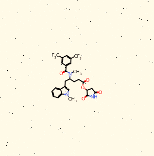 CN(C(=O)c1cc(C(F)(F)F)cc(C(F)(F)F)c1)C(CCC(=O)OC1CC(=O)NC1=O)Cc1cn(C)c2ccccc12